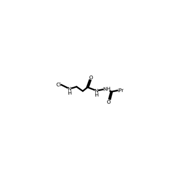 CC(C)C(=O)NNC(=O)CCNCl